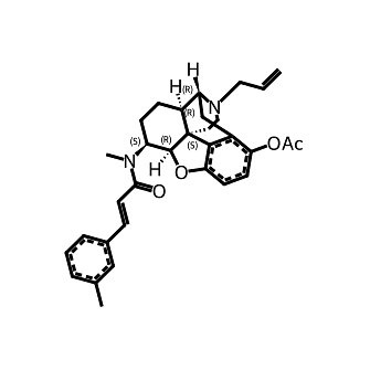 C=CCN1CC[C@@]23c4c5ccc(OC(C)=O)c4C[C@@H]1[C@@H]2CC[C@H](N(C)C(=O)C=Cc1cccc(C)c1)[C@@H]3O5